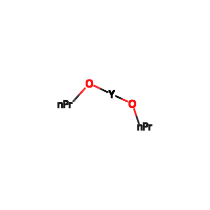 CCC[O][Y][O]CCC